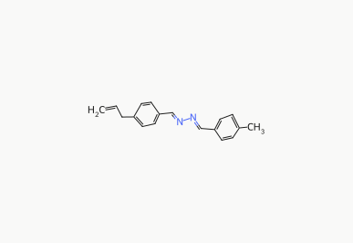 C=CCc1ccc(C=NN=Cc2ccc(C)cc2)cc1